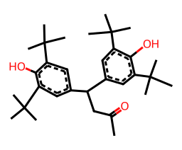 CC(=O)CC(c1cc(C(C)(C)C)c(O)c(C(C)(C)C)c1)c1cc(C(C)(C)C)c(O)c(C(C)(C)C)c1